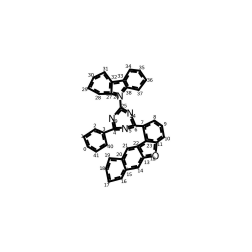 c1ccc(-c2nc(-c3cccc4oc5cc6ccccc6cc5c34)nc(-n3c4ccccc4c4ccccc43)n2)cc1